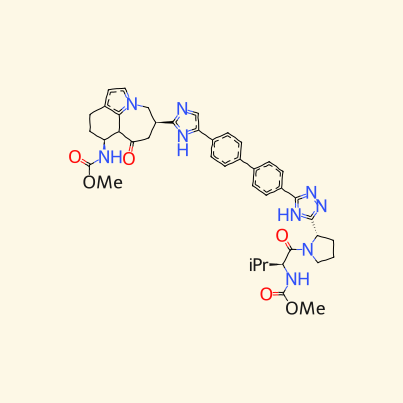 COC(=O)N[C@H]1CCc2ccn3c2C1C(=O)C[C@H](c1ncc(-c2ccc(-c4ccc(-c5nnc([C@@H]6CCCN6C(=O)[C@@H](NC(=O)OC)C(C)C)[nH]5)cc4)cc2)[nH]1)C3